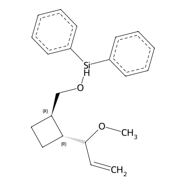 C=CC(OC)[C@@H]1CC[C@H]1CO[SiH](c1ccccc1)c1ccccc1